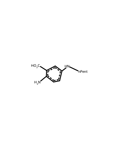 CCCCCNc1ccc(N)c(C(=O)O)c1